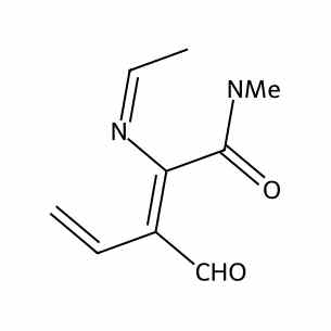 C=C/C(C=O)=C(\N=C/C)C(=O)NC